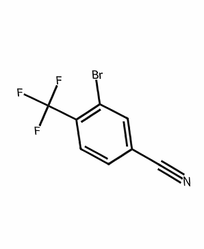 N#Cc1ccc(C(F)(F)F)c(Br)c1